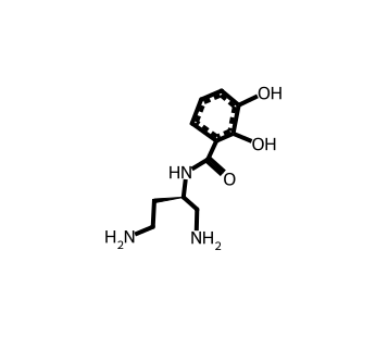 NCC[C@H](CN)NC(=O)c1cccc(O)c1O